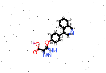 O=C(OI)c1nn[nH]c1Oc1ccc(-c2cncc3ccccc23)cc1